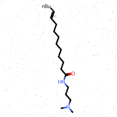 CCCC/C=C/CCCCCCCCC(=O)NCCCN(C)C